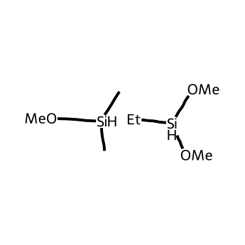 CC[SiH](OC)OC.CO[SiH](C)C